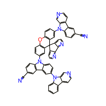 N#Cc1ccc2c(c1)c1cc(-n3c4ccccc4c4ccncc43)ccc1n2-c1ccc2c(c1)C1(c3cc(-n4c5ccc(C#N)cc5c5ccncc54)ccc3O2)c2cccnc2-c2ncccc21